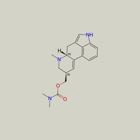 CN(C)C(=O)OC[C@@H]1C=C2c3cccc4[nH]cc(c34)C[C@H]2N(C)C1